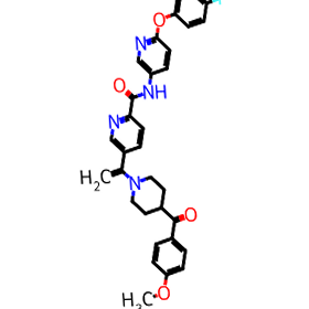 C=C(c1ccc(C(=O)Nc2ccc(Oc3ccc(F)cc3)nc2)nc1)N1CCC(C(=O)c2ccc(OC)cc2)CC1